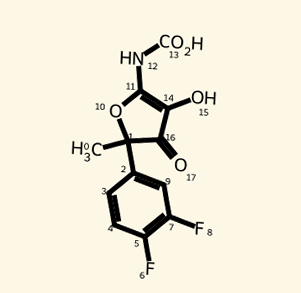 CC1(c2ccc(F)c(F)c2)OC(NC(=O)O)=C(O)C1=O